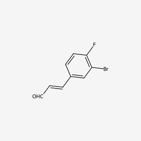 O=C/C=C/c1ccc(F)c(Br)c1